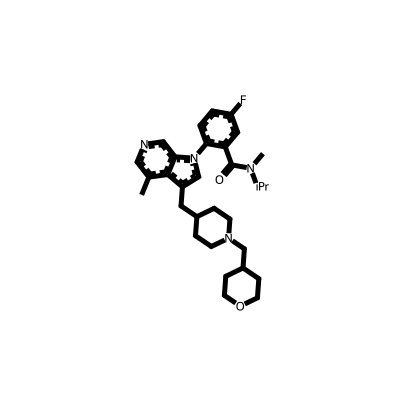 Cc1cncc2c1c(CC1CCN(CC3CCOCC3)CC1)cn2-c1ccc(F)cc1C(=O)N(C)C(C)C